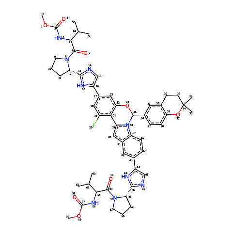 COC(=O)NC(C(=O)N1CCC[C@H]1c1ncc(-c2cc(F)c3c(c2)OC(c2ccc4c(c2)CCC(C)(C)O4)n2c-3cc3cc(-c4cnc([C@@H]5CCCN5C(=O)C(NC(=O)OC)C(C)C)[nH]4)ccc32)[nH]1)C(C)C